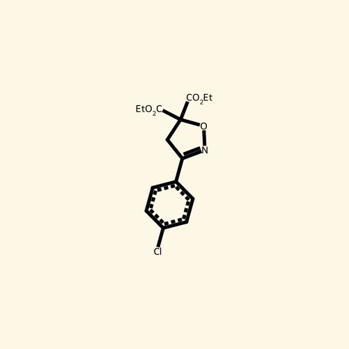 CCOC(=O)C1(C(=O)OCC)CC(c2ccc(Cl)cc2)=NO1